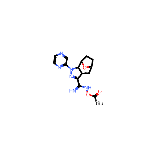 CC(C)(C)C(=O)ONC(=N)C1=NN(c2cnccn2)C2C3CCC(CC12)O3